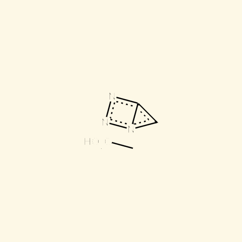 CC(=O)O.c1c2nnn1-2